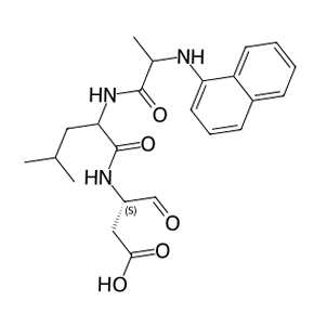 CC(C)CC(NC(=O)C(C)Nc1cccc2ccccc12)C(=O)N[C@H](C=O)CC(=O)O